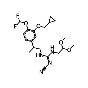 COC(CN/C(=N/C#N)NCC(C)c1ccc(OC(F)F)c(OCC2CC2)c1)OC